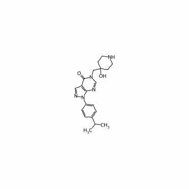 CC(C)c1ccc(-n2ncc3c(=O)n(CC4(O)CCNCC4)cnc32)cc1